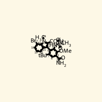 COc1c(C(N)=O)cc(C(C)(C)C)c(-c2c(C(=O)O)n(C)c3c(Br)cccc23)c1NS(C)(=O)=O